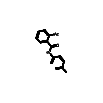 C=C(C)/C=C\C(=C)NC(=O)c1ccccc1C(C)=O